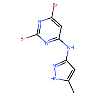 Cc1cc(Nc2cc(Br)nc(Br)n2)n[nH]1